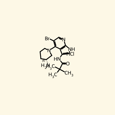 CC(C)(C)C(=O)Nc1c[nH]c2ncc(Br)c(N3CCC[C@@H](N)C3)c12.Cl